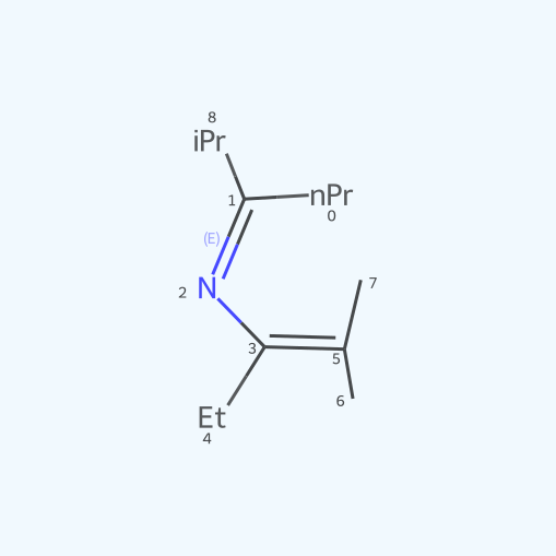 CCC/C(=N\C(CC)=C(C)C)C(C)C